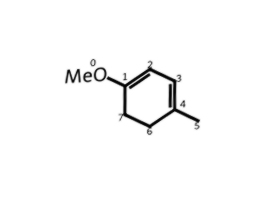 COC1=CC=C(C)CC1